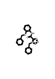 O=C(Nc1ccccc1OCc1ccccc1)c1nnnn1Cc1ccccc1